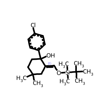 CC1(C)CCC(O)(c2ccc(Cl)cc2)/C(=C/O[Si](C)(C)C(C)(C)C)C1